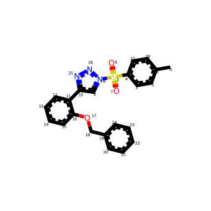 Cc1ccc(S(=O)(=O)n2cc(-c3ccccc3OCc3ccccc3)nn2)cc1